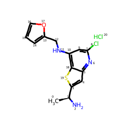 C[C@H](N)c1cc2nc(Cl)cc(NCc3ccco3)c2s1.Cl